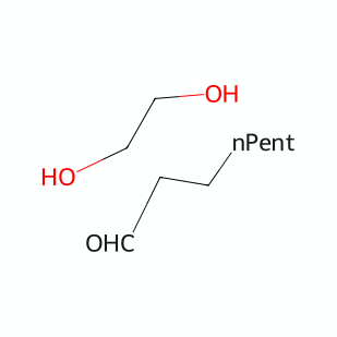 CCCCCCCC=O.OCCO